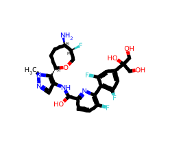 Cn1ncc(NC(O)c2ccc(F)c(-c3c(F)cc(C(O)(CO)CO)cc3F)n2)c1[C@@H]1CC[C@@H](N)[C@@H](F)CO1